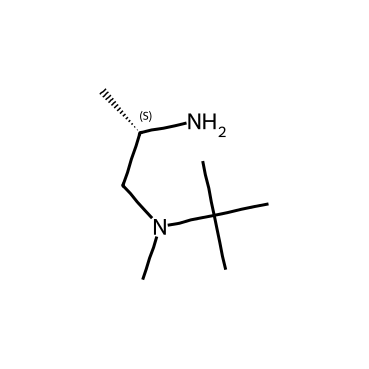 C[C@H](N)CN(C)C(C)(C)C